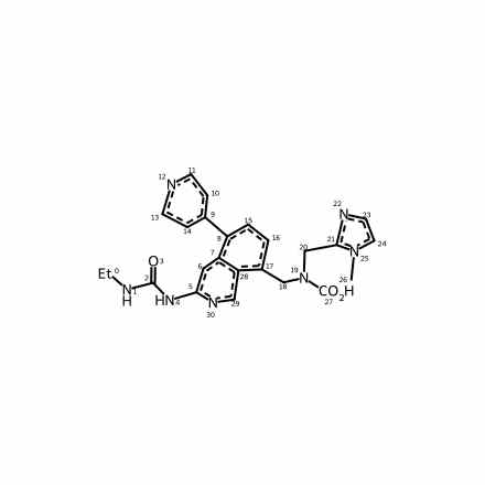 CCNC(=O)Nc1cc2c(-c3ccncc3)ccc(CN(Cc3nccn3C)C(=O)O)c2cn1